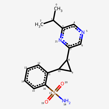 CC(C)c1cncc(C2CC2c2ccccc2S(N)(=O)=O)n1